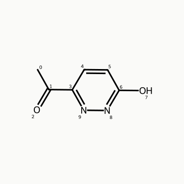 CC(=O)c1ccc(O)nn1